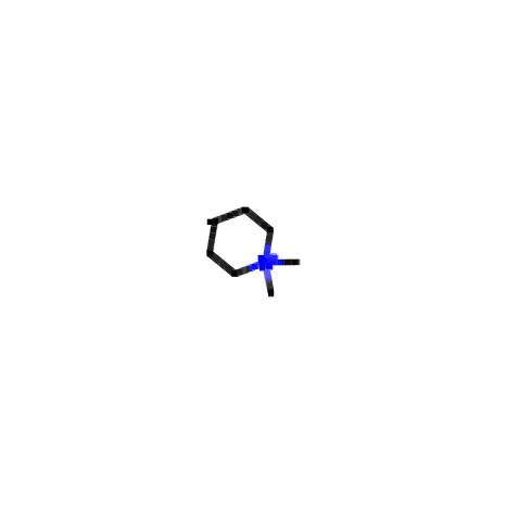 C[N+]1(C)CC[CH]CC1